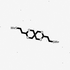 CSCCC1OCC2(CO1)COC(CCSC)OC2